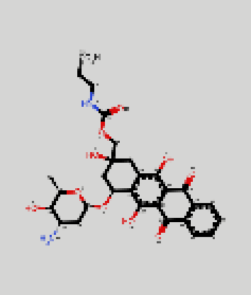 C[C@H]1O[C@@H](O[C@H]2CC(O)(COC(=O)NCCC(=O)O)Cc3c(O)c4c(c(O)c32)C(=O)c2ccccc2C4=O)C[C@H](N)[C@H]1O